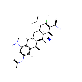 C=C(C)Nc1cc(N(C)C)c2c(c1C)C(=C)C1=C(C)[C@]3(C#N)C(=C)C(C(=C)N)=C(Cl)[C@@H](C(C)C)[C@@H]3C[C@]1(C)C2